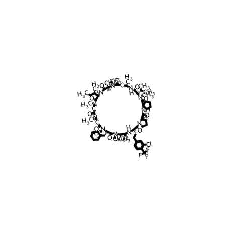 CC[C@H](C)[C@@H]1NC(=O)[C@H](C)N(C)C(=O)C[C@@H](C)NC(=O)[C@H](C(C)C)N(C)C(=O)C2(CCCC2)NC(=O)[C@@H]2CCCN2C(=O)[C@H](CCc2ccc(C(F)(F)F)c(Cl)c2)NC(=O)[C@@H](C)N(C)C(=O)[C@H](CC2CCCCC2)N(C)C(=O)CN(C)C(=O)CN(C)C1=O